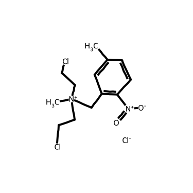 Cc1ccc([N+](=O)[O-])c(C[N+](C)(CCCl)CCCl)c1.[Cl-]